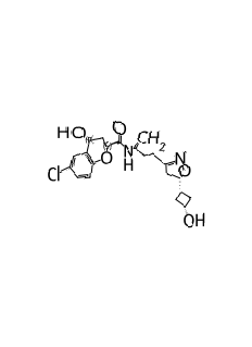 C=C(CCC1=NOC([C@H]2C[C@@H](O)C2)C1)NC(=O)[C@@H]1C[C@@H](O)c2cc(Cl)ccc2O1